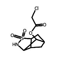 O=C(CCl)OC1C2CC3C1NS(=O)(=O)C3C2